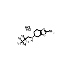 Cl.Cl.[2H]C([2H])([2H])C([2H])([2H])CN[C@H]1CCc2nc(N)sc2C1